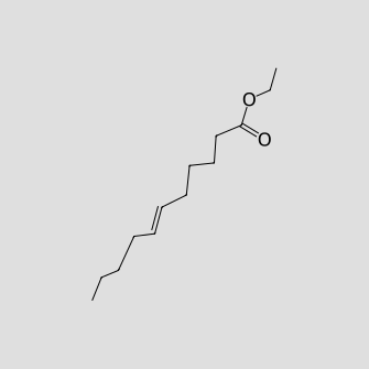 CCCCC=CCCCCC(=O)OCC